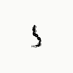 C=CC(=O)Oc1ccc(C(=O)Sc2ccc3cc(-c4ccc(OCCOC(=O)C(=C)CO)cc4)ccc3c2)cc1